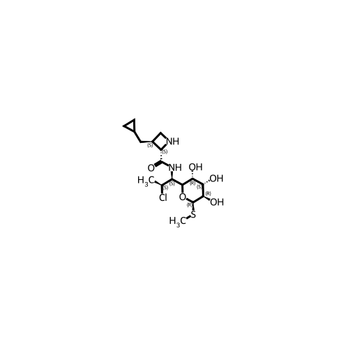 CS[C@H]1OC([C@H](NC(=O)[C@H]2NC[C@@H]2CC2CC2)[C@H](C)Cl)[C@H](O)[C@H](O)[C@H]1O